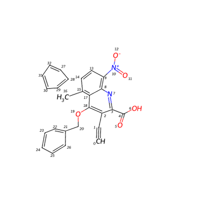 C#Cc1c(C(=O)O)nc2c([N+](=O)[O-])ccc(C)c2c1OCc1ccccc1.c1ccccc1